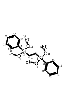 CCO[Si](CC[Si](OCC)(OCC)c1ccccc1)(OCC)c1ccccc1